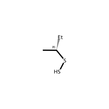 CC[C@@H](C)SS